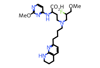 COCC(F)CN(CCCCc1ccc2c(n1)NCCC2)CCC(Nc1ccnc(OC)n1)C(=O)O